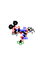 COC1=C(C(=O)OC(c2ccccc2)c2ccccc2)N2C(=O)[C@@H](NC(=O)C(NC(=O)OC(C)(C)C)c3csc(NC(=O)OCC(Cl)(Cl)Cl)n3)[C@H]2SC1